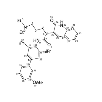 CCN(CC)CCCN(C(=O)Nc1c(C(C)C)cc(-c2cccc(OC)c2)cc1C(C)C)c1cc2cccnc2[nH]c1=O